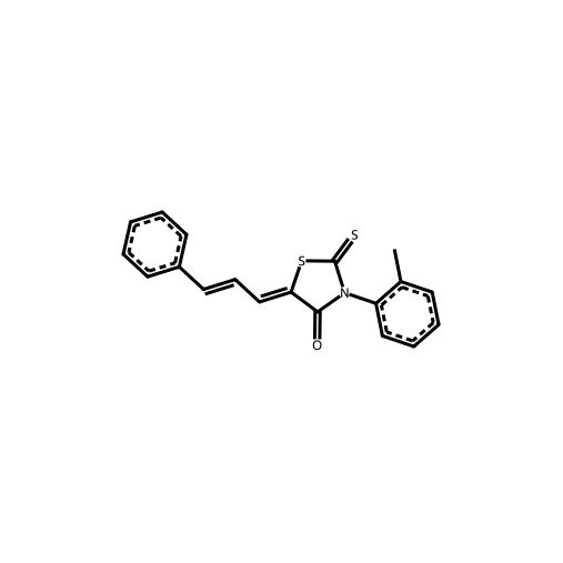 Cc1ccccc1N1C(=O)C(=CC=Cc2ccccc2)SC1=S